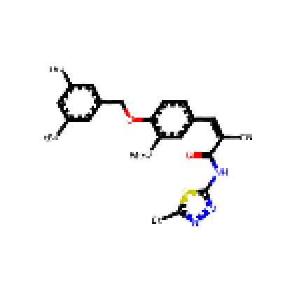 CCc1nnc(NC(=O)C(C#N)=Cc2ccc(OCc3cc(C(C)(C)C)cc(C(C)(C)C)c3)c(OC)c2)s1